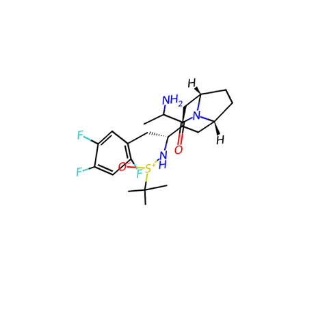 CC(N)C(=O)N1[C@@H]2CC[C@H]1C[C@H]([C@@H](Cc1cc(F)c(F)cc1F)N[S+]([O-])C(C)(C)C)C2